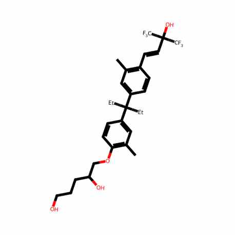 CCC(CC)(c1ccc(C=CC(O)(C(F)(F)F)C(F)(F)F)c(C)c1)c1ccc(OCC(O)CCCO)c(C)c1